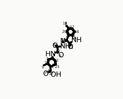 Cc1cc(NC(=O)C(=O)N/N=C2\C(=O)Nc3ccc(I)cc32)ccc1C(=O)O